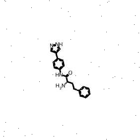 N[C@H](CCc1ccccc1)C(=O)Nc1ccc(-c2cn[nH]c2)cc1